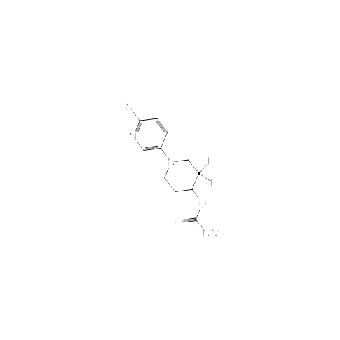 CNC(=O)OC1CCN(c2ccc([N+](=O)[O-])nc2)CC1(F)F